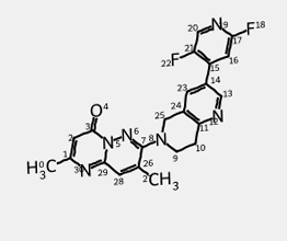 Cc1cc(=O)n2nc(N3CCc4ncc(-c5cc(F)ncc5F)cc4C3)c(C)cc2n1